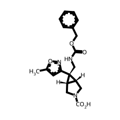 Cc1cc([C@]2(CNC(=O)OCc3ccccc3)[C@@H]3CN(C(=O)O)C[C@@H]32)no1